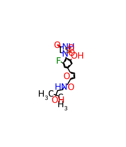 CC(C)(O)CCNC(=O)c1ccc(-c2cc(O)c(N3CC(=O)NS3(=O)=O)c(F)c2)o1